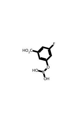 O=C(O)c1cc(F)cc(OB(O)O)c1